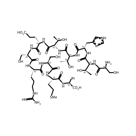 CSCC[C@H](NC(=O)[C@H](CO)NC(=O)[C@H](CCCNC(=N)N)NC(=O)[C@H](CO)NC(=O)[C@H](CCC(=O)O)NC(=O)[C@@H](NC(=O)[C@@H](NC(=O)[C@H](Cc1c[nH]cn1)NC(=O)[C@@H](NC(=O)[C@@H](N)CO)[C@@H](C)O)[C@@H](C)O)[C@@H](C)O)C(=O)N[C@H](C(=O)O)C(C)C